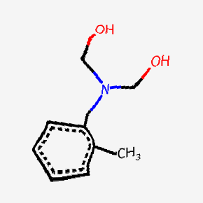 Cc1ccccc1N(CO)CO